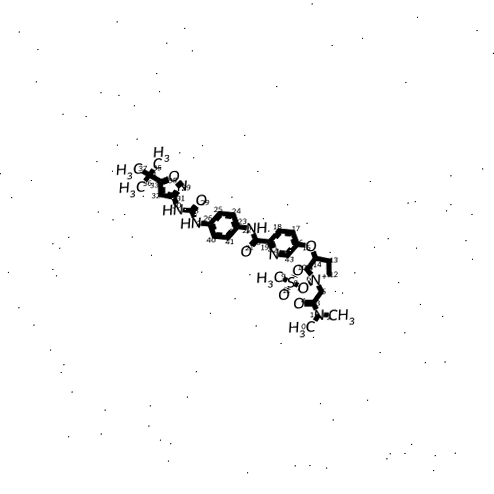 CN(C)C(=O)C[N+]1(OS(C)(=O)=O)CCC(Oc2ccc(C(=O)Nc3ccc(NC(=O)Nc4cc(C(C)(C)C)on4)cc3)nc2)C1